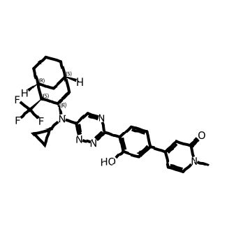 Cn1ccc(-c2ccc(-c3ncc(N(C4CC4)[C@@H]4C[C@H]5CCC[C@H](C5)[C@@H]4C(F)(F)F)nn3)c(O)c2)cc1=O